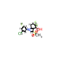 CS(=O)(=O)c1cn(-c2cc(F)cc(Cl)c2)c2c1C(O)C(F)(F)CC2